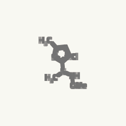 CONN(C)c1ccc(C)s1.Cl